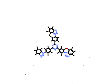 Cc1c(C)c(-n2nnc3c(C)c(C)c(C)c(C)c32)c(C)c(C)c1-c1nc(-c2c(C)c(C)c(-n3nnc4c(C)c(C)c(C)c(C)c43)c(C)c2C)nc(-c2c(C)c(C)c(-n3nnc4c(C)c(C)c(C)c(C)c43)c(C)c2C)n1